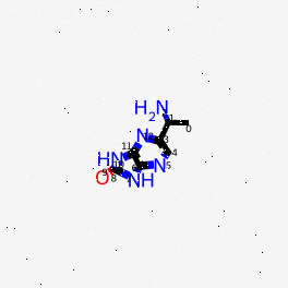 CC(N)c1cnc2[nH]c(=O)[nH]c2n1